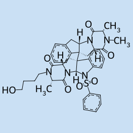 C[C@H]1C(=O)N2[C@H]3Cc4ccccc4[C@@]3([C@]34C[C@H]5C(=O)N(CCCCO)[C@@H](C)C(=O)N5[C@H]3N(S(=O)(=O)c3ccccc3)c3ccccc34)C[C@H]2C(=O)N1C